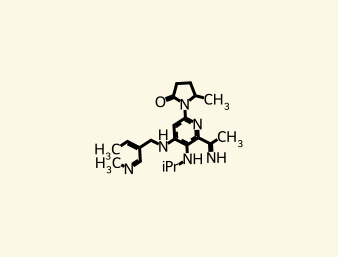 C/C=C(\C=N/C)CNc1cc(N2C(=O)CCC2C)nc(C(C)=N)c1NC(C)C